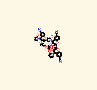 CC(C)(CCOC(C)(C)P(=O)(O[C@@H]1[C@@H](N2CCCC2=O)c2cc(C#N)ccc2OC1(C)C)O[C@@H]1[C@@H](N2CCCC2O)c2cc(C#N)ccc2OC1(C)C)O[C@@H]1[C@@H](N2CCCC2=O)c2cc(C#N)ccc2OC1(C)C